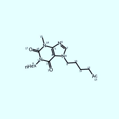 CCCCCCn1c(=O)c2c(ncn2CCCCC(C)=O)n(C)c1=O